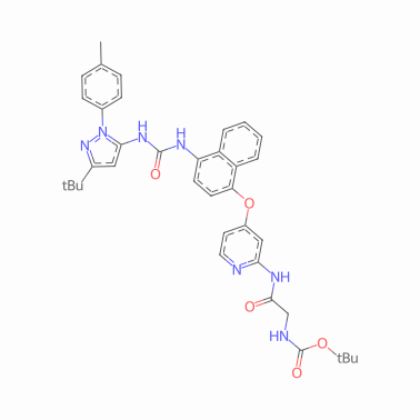 Cc1ccc(-n2nc(C(C)(C)C)cc2NC(=O)Nc2ccc(Oc3ccnc(NC(=O)CNC(=O)OC(C)(C)C)c3)c3ccccc23)cc1